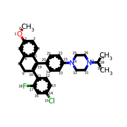 COc1ccc2c(c1)CCC(c1ccc(Cl)cc1F)=C2c1ccc(N2CCN(C(C)C)CC2)cc1